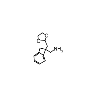 NCC1(CC2OCCO2)Cc2ccccc21